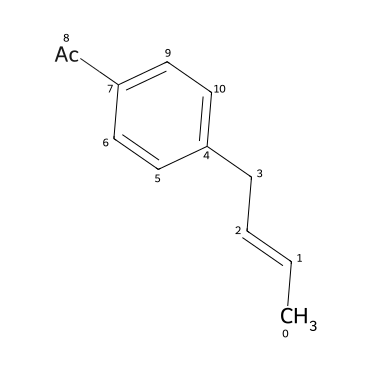 CC=CCc1ccc(C(C)=O)cc1